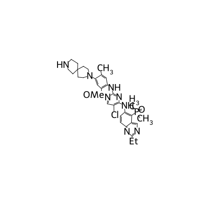 CCc1ncc2c(P(C)(C)=O)c(Nc3nc(Nc4cc(C)c(N5CCC6(CCNCC6)CC5)cc4OC)ncc3Cl)ccc2n1